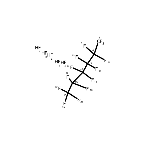 F.F.F.F.F.FC(F)(F)C(F)(F)C(F)(F)C(F)(F)C(F)(F)C(F)(F)[S]